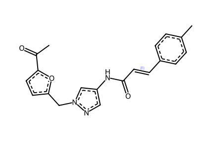 CC(=O)c1ccc(Cn2cc(NC(=O)/C=C/c3ccc(C)cc3)cn2)o1